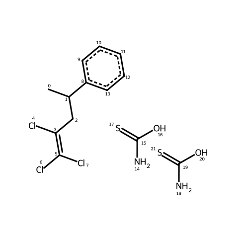 CC(CC(Cl)=C(Cl)Cl)c1ccccc1.NC(O)=S.NC(O)=S